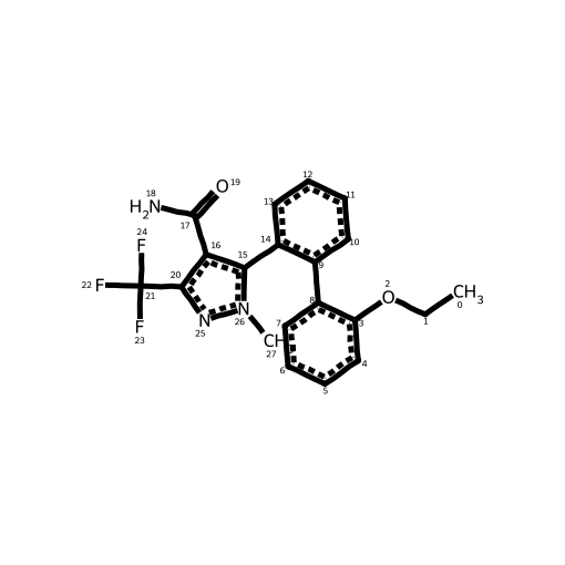 CCOc1ccccc1-c1ccccc1-c1c(C(N)=O)c(C(F)(F)F)nn1C